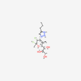 CCCc1cn([C@H]2C(F)C(C)(F)O[C@@H]([C@H](O)[C@H](O)CO)[C@@H]2C)nn1